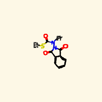 CCSC(=O)N(C(C)C)N1C(=O)c2ccccc2C1=O